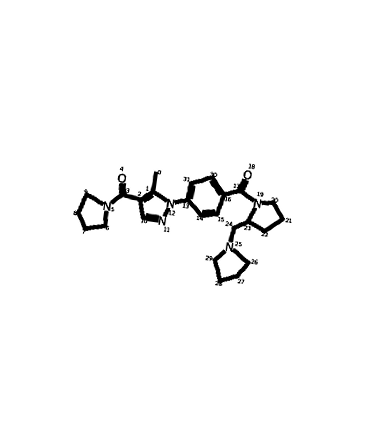 Cc1c(C(=O)N2CCCC2)cnn1-c1ccc(C(=O)N2CCCC2CN2CCCC2)cc1